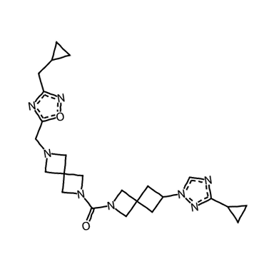 O=C(N1CC2(CC(n3cnc(C4CC4)n3)C2)C1)N1CC2(CN(Cc3nc(CC4CC4)no3)C2)C1